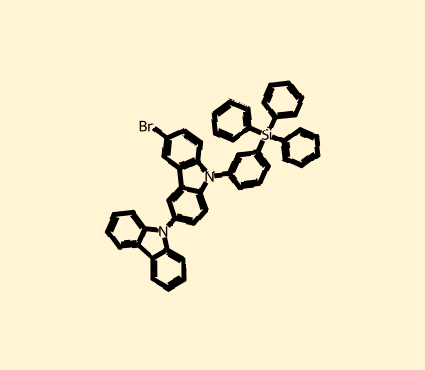 Brc1ccc2c(c1)c1cc(-n3c4ccccc4c4ccccc43)ccc1n2-c1cccc([Si](c2ccccc2)(c2ccccc2)c2ccccc2)c1